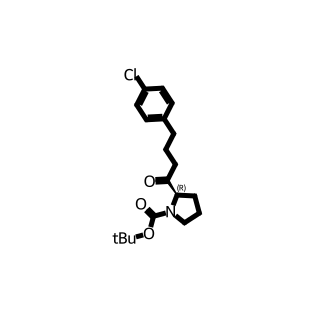 CC(C)(C)OC(=O)N1CCC[C@@H]1C(=O)CCCc1ccc(Cl)cc1